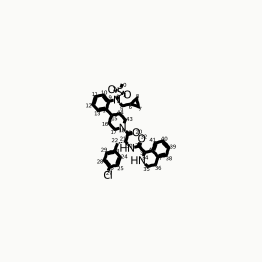 CS(=O)(=O)N(CC1CC1)c1ccccc1C1CCN(C(=O)[C@@H](Cc2ccc(Cl)cc2)NC(=O)C2N[CH]Cc3ccccc32)CC1